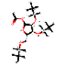 CC(=O)OC1O[C@@H](CO[Si](C)(C)C(C)(C)C)[C@H](O[Si](C)(C)C(C)(C)C)[C@@H]1O[Si](C)(C)C(C)(C)C